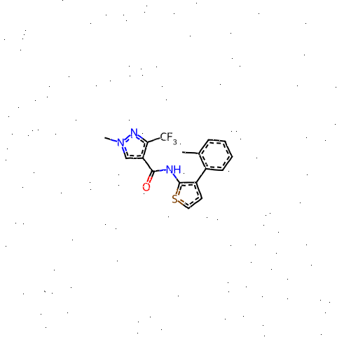 Cc1ccccc1-c1ccsc1NC(=O)c1cn(C)nc1C(F)(F)F